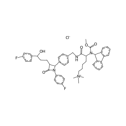 COC(=O)N(C(CCCC[N+](C)(C)C)C(=O)NCc1ccc(C2C(CCC(O)c3ccc(F)cc3)C(=O)N2c2ccc(F)cc2)cc1)C1c2ccccc2-c2ccccc21.[Cl-]